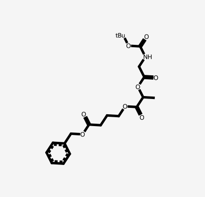 CC(OC(=O)CNC(=O)OC(C)(C)C)C(=O)OCCCC(=O)OCc1ccccc1